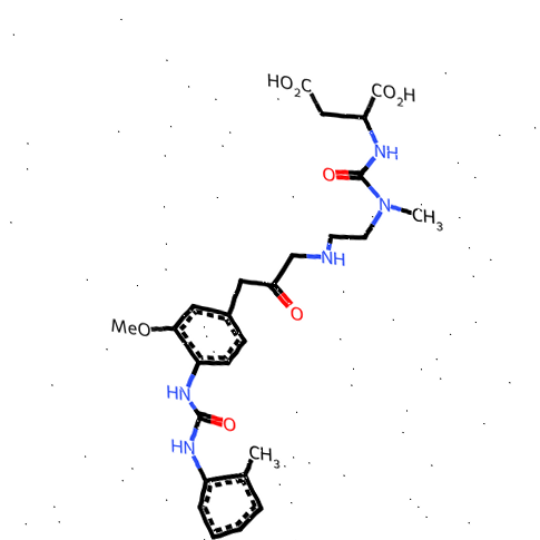 COc1cc(CC(=O)CNCCN(C)C(=O)NC(CC(=O)O)C(=O)O)ccc1NC(=O)Nc1ccccc1C